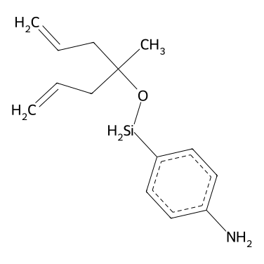 C=CCC(C)(CC=C)O[SiH2]c1ccc(N)cc1